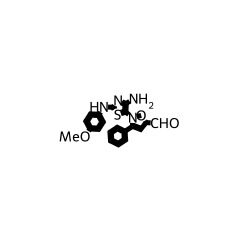 COc1ccc(Nc2nc(N)c(N3OC(C=O)C=C3c3ccccc3)s2)cc1